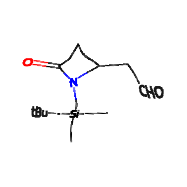 CC(C)(C)[Si](C)(C)N1C(=O)CC1CC=O